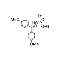 CCOP(O)OCC.COc1ccc(C(=O)c2ccc(OC)cc2)cc1